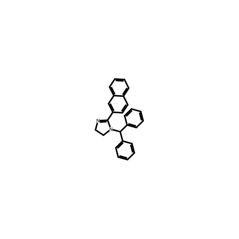 c1ccc(C(c2ccccc2)N2CCN=C2c2ccc3ccccc3c2)cc1